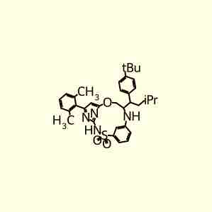 Cc1cccc(C)c1-c1cc2nc(n1)NS(=O)(=O)c1cccc(c1)NC(C(CC(C)C)c1ccc(C(C)(C)C)cc1)CO2